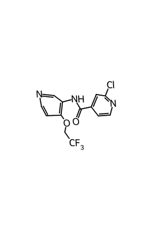 O=C(Nc1cnccc1OCC(F)(F)F)c1ccnc(Cl)c1